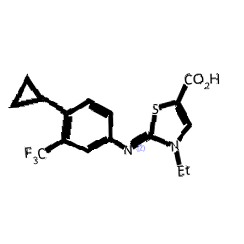 CCn1cc(C(=O)O)s/c1=N\c1ccc(C2CC2)c(C(F)(F)F)c1